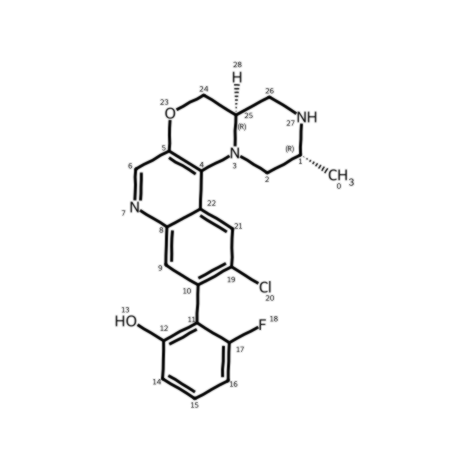 C[C@@H]1CN2c3c(cnc4cc(-c5c(O)cccc5F)c(Cl)cc34)OC[C@H]2CN1